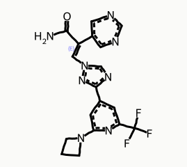 NC(=O)/C(=C/n1cnc(-c2cc(N3CCC3)nc(C(F)(F)F)c2)n1)c1cncnc1